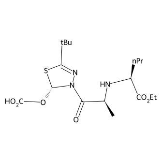 CCC[C@H](N[C@@H](C)C(=O)N1N=C(C(C)(C)C)S[C@H]1OC(=O)O)C(=O)OCC